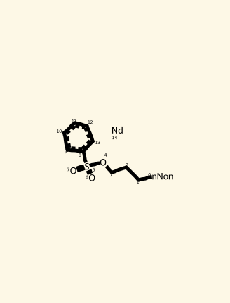 CCCCCCCCCCCCOS(=O)(=O)c1ccccc1.[Nd]